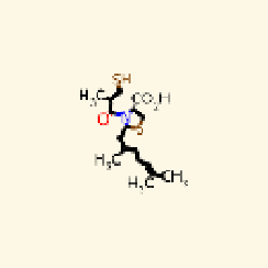 CC(C)=CCCC(C)CC1SC[C@@H](C(=O)O)N1C(=O)C(C)CS